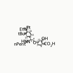 CCCCCNN=C(COc1ccc(C(=O)O)c(O)c1)c1ccc(N(CC)CC)c(C(C)(C)C)c1